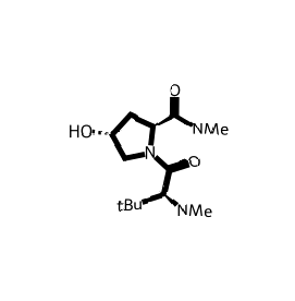 CNC(=O)[C@@H]1C[C@@H](O)CN1C(=O)[C@@H](NC)C(C)(C)C